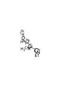 CCc1cc(-c2nc(C)c(-c3ccnc(Nc4ccc(N5CCOCC5)cc4)n3)s2)ccn1